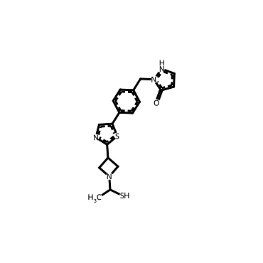 CC(S)N1CC(c2ncc(-c3ccc(Cn4[nH]ccc4=O)cc3)s2)C1